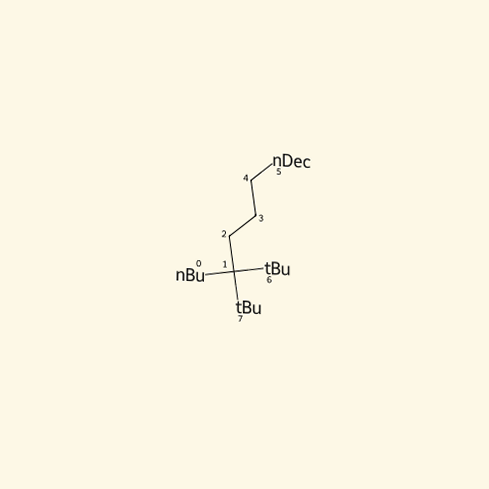 [CH2]CCCC(CCCCCCCCCCCCC)(C(C)(C)C)C(C)(C)C